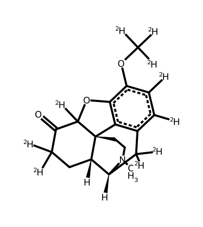 [2H]c1c([2H])c2c3c(c1OC([2H])([2H])[2H])OC1([2H])C(=O)C([2H])([2H])C[C@H]4[C@H](N(C)CC[C@@]341)C2([2H])[2H]